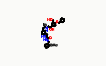 CC[C@H](Cc1ccc2[nH]c(C(=O)NCc3ccccc3OC)cc2c1)NC[C@H](O)c1ccc(OCc2ccccc2)c(CO)c1